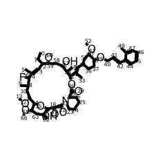 CCC1/C=C(\C)C(F)C(C)CC(OC)C2OC(O)(C(=O)C(=O)N3CCCCC3C(=O)OC(C(C)=CC3CCC(OCC=Cc4ccccc4C)C(OC)C3)C(C)C(O)CC1=O)C(C)CC2OC